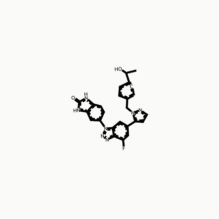 CC(O)c1ccc(Cn2nccc2-c2cc(F)c3nnn(-c4ccc5[nH]c(=O)[nH]c5c4)c3c2)cc1